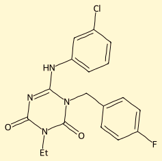 CCn1c(=O)nc(Nc2cccc(Cl)c2)n(Cc2ccc(F)cc2)c1=O